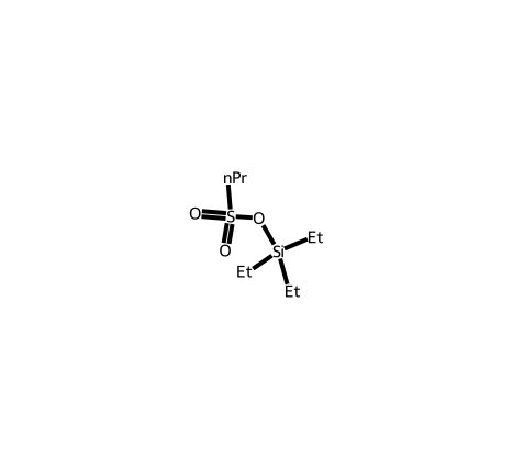 CCCS(=O)(=O)O[Si](CC)(CC)CC